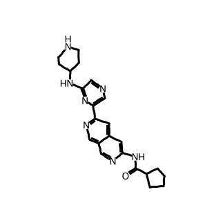 O=C(Nc1cc2cc(-c3cncc(NC4CCNCC4)n3)ncc2cn1)C1CCCC1